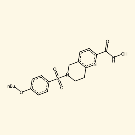 CCCCOc1ccc(S(=O)(=O)N2CCc3nc(C(=O)NO)ccc3C2)cc1